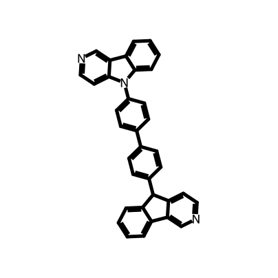 c1ccc2c(c1)-c1cnccc1C2c1ccc(-c2ccc(-n3c4ccccc4c4cnccc43)cc2)cc1